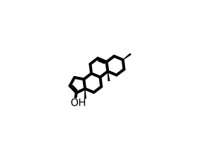 C[C@H]1CC[C@@]2(C)C(=CCC3C2CC[C@]2(C)C(O)=CCC32)C1